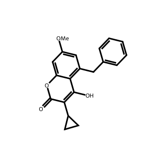 COc1cc(Cc2ccccc2)c2c(O)c(C3CC3)c(=O)oc2c1